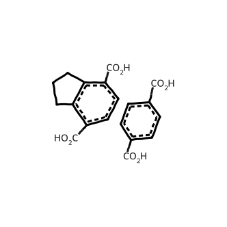 O=C(O)c1ccc(C(=O)O)c2c1CCC2.O=C(O)c1ccc(C(=O)O)cc1